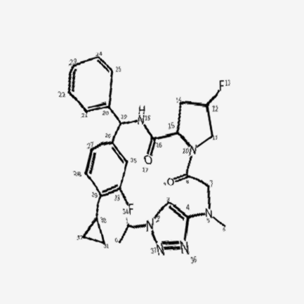 CCn1cc(N(C)CC(=O)N2CC(F)CC2C(=O)NC(c2ccccc2)c2ccc(C3CC3)c(F)c2)nn1